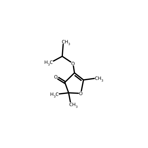 CC1=C(OC(C)C)C(=O)C(C)(C)O1